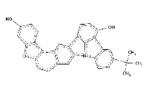 CC(C)(C)c1ccc2c(c1)c1c(O)ccc3c4cc5c(ccc6oc7cc(O)ccc7c65)cc4n2c31